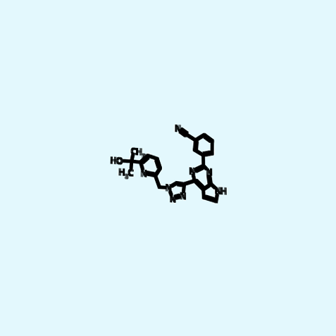 CC(C)(O)c1cccc(Cn2cc(-c3nc(-c4cccc(C#N)c4)nc4[nH]ccc34)nn2)n1